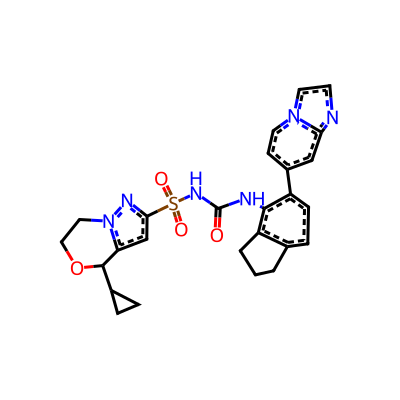 O=C(Nc1c(-c2ccn3ccnc3c2)ccc2c1CCC2)NS(=O)(=O)c1cc2n(n1)CCOC2C1CC1